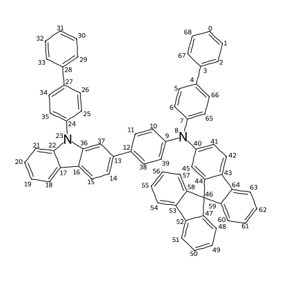 c1ccc(-c2ccc(N(c3ccc(-c4ccc5c6ccccc6n(-c6ccc(-c7ccccc7)cc6)c5c4)cc3)c3ccc4c(c3)C3(c5ccccc5-c5ccccc53)c3ccccc3-4)cc2)cc1